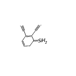 [C]#CC1=C(C#[C])C(=[SiH2])CC=C1